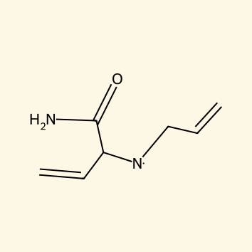 C=CC[N]C(C=C)C(N)=O